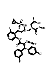 C[C@@H](O)CN(C[C@H](CCc1c(F)cncc1NC(=O)[C@@H](N=[N+]=[N-])[C@@H](c1ccc(Cl)cc1)c1cccc(F)c1)NS(=O)(=O)C1CC1)C(=O)OC(C)(C)C